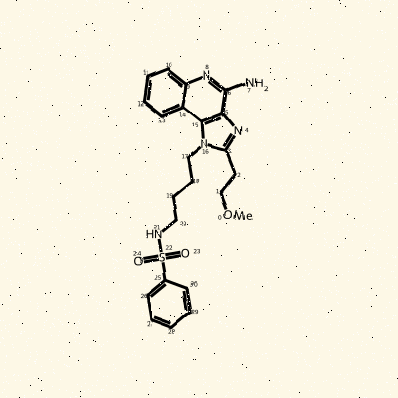 COCCc1nc2c(N)nc3ccccc3c2n1CCCCNS(=O)(=O)c1ccccc1